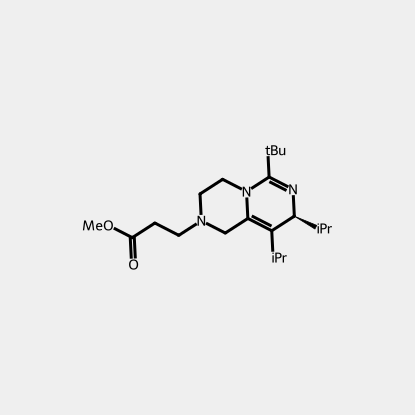 COC(=O)CCN1CCN2C(C(C)(C)C)=N[C@@H](C(C)C)C(C(C)C)=C2C1